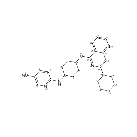 Oc1cnc(NC2CCC(Oc3nc(N4CCOCC4)cc4ncccc34)CC2)nc1